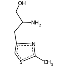 Cc1nc(CC(N)CO)cs1